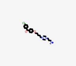 CN(C)CCCN1CCN(CCCCCOc2ccc(C(=O)c3ccc(Cl)cc3)cc2)CC1